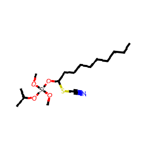 CCCCCCCCCC(O[Si](OC)(OC)OC(C)C)SC#N